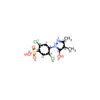 Cc1nn(-c2cc(Cl)c(S(=O)(=O)O)cc2Cl)c(O)c1C